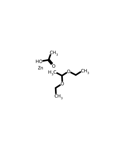 CC(=O)O.CCOC(C)OCC.[Zn]